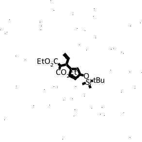 C=CC(C1C=CC(O[Si](C)(C)C(C)(C)C)C1)C(C(=O)OCC)C(=O)OCC